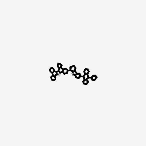 c1ccc(-c2c3ccccc3c(-c3ccc4sc5c(-c6ccc7c(c6)c6ccccc6c6c7oc7c8ccccc8c8ccccc8c76)cccc5c4c3)c3ccccc23)cc1